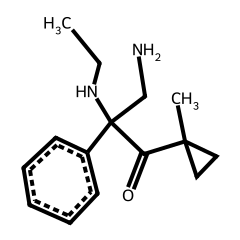 CCNC(CN)(C(=O)C1(C)CC1)c1ccccc1